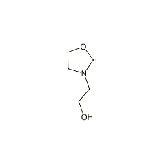 OCCN1[CH]OCC1